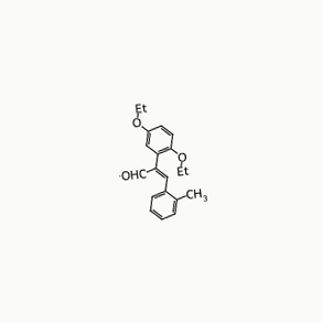 CCOc1ccc(OCC)c(C([C]=O)=Cc2ccccc2C)c1